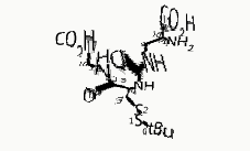 CC(C)(C)SSC[C@H](NC(=O)NC[C@H](N)C(=O)O)C(=O)NCC(=O)O